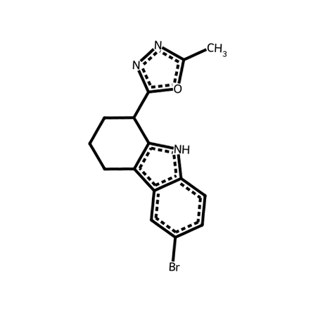 Cc1nnc(C2CCCc3c2[nH]c2ccc(Br)cc32)o1